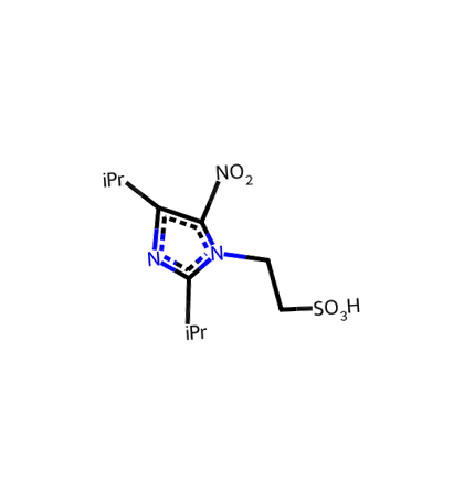 CC(C)c1nc(C(C)C)n(CCS(=O)(=O)O)c1[N+](=O)[O-]